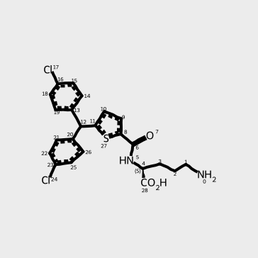 NCCC[C@H](NC(=O)c1ccc(C(c2ccc(Cl)cc2)c2ccc(Cl)cc2)s1)C(=O)O